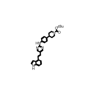 CC(C)(C)OC(=O)N1CCC(c2ccc(Nc3ncc(C=Cc4cccc5[nH]ccc45)cn3)cc2)CC1